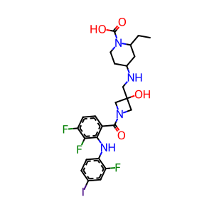 CCC1CC(NCC2(O)CN(C(=O)c3ccc(F)c(F)c3Nc3ccc(I)cc3F)C2)CCN1C(=O)O